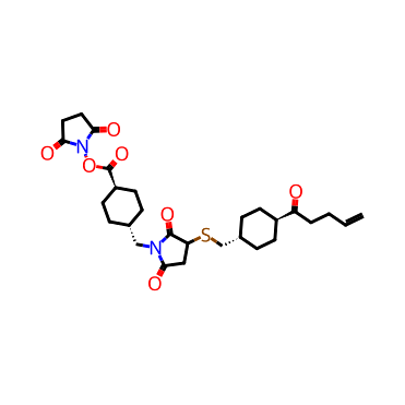 C=CCCC(=O)[C@H]1CC[C@H](CSC2CC(=O)N(C[C@H]3CC[C@H](C(=O)ON4C(=O)CCC4=O)CC3)C2=O)CC1